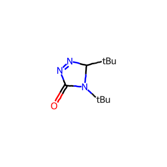 CC(C)(C)C1N=NC(=O)N1C(C)(C)C